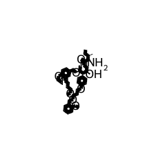 CC[C@H](C)[C@H](N)C(=O)N1C[C@@H](O)[C@H](c2ccc(OCCCOCc3ccccc3OC)cc2)[C@@H](OCc2ccc3c(c2)N(CCCOC)CCO3)C1